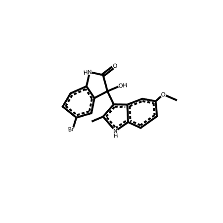 COc1ccc2[nH]c(C)c(C3(O)C(=O)Nc4ccc(Br)cc43)c2c1